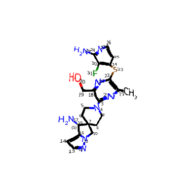 Cc1nc(N2CCC3(CC2)Cn2nccc2[C@H]3N)c(CO)nc1Sc1ccnc(N)c1F